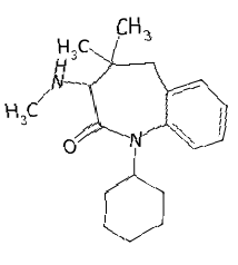 CNC1C(=O)N(C2CCCCC2)c2ccccc2CC1(C)C